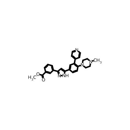 COC(=O)c1cccc(-c2cc(-c3ccc(N4CCN(C)CC4)c(-c4ccncc4)c3)[nH]n2)c1